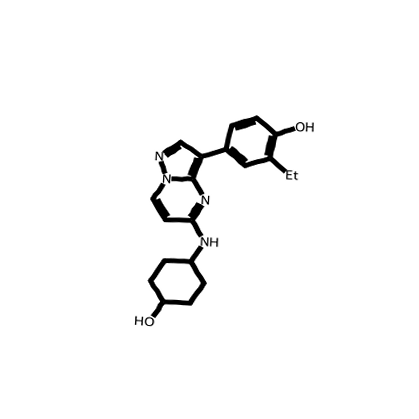 CCc1cc(-c2cnn3ccc(NC4CCC(O)CC4)nc23)ccc1O